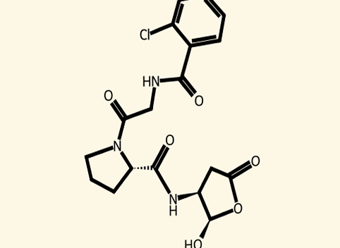 O=C1C[C@H](NC(=O)[C@@H]2CCCN2C(=O)CNC(=O)c2ccccc2Cl)[C@H](O)O1